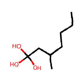 CCCCC(C)CC(O)(O)O